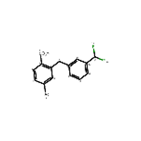 CC(=O)c1ccc(C(=O)O)c(Cc2cccc(C(F)F)c2)c1